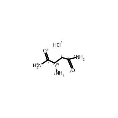 Cl.NC(=O)C[C@H](N)C(N)=O